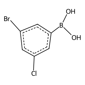 OB(O)c1cc(Cl)cc(Br)c1